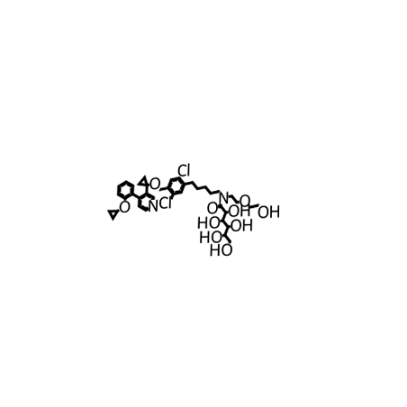 O=C(C(O)C(O)C(O)C(O)CO)N(CCCCCc1cc(Cl)c(COC2(c3cnccc3-c3ccccc3OC3CC3)CC2)cc1Cl)CCOCCO